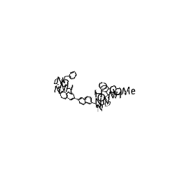 COC(=O)N[C@H](C(=O)N1CCC[C@H]1c1ncc(-c2ccc3cc(-c4ccc5c(c4)CCc4nc([C@@H]6CCCN6C(=O)Cc6ccccc6)[nH]c4-5)ccc3c2)[nH]1)C1CCOCC1